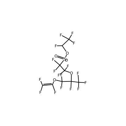 O=S(=O)(OC(F)C(F)(F)F)C(F)(F)C(F)(F)OC(F)(C(F)(F)F)C(F)(F)OC(F)=C(F)F